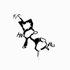 CCCC[Si](C)(C)OC(CF)C1Oc2ccc(C(F)(F)F)cc2NC1=O